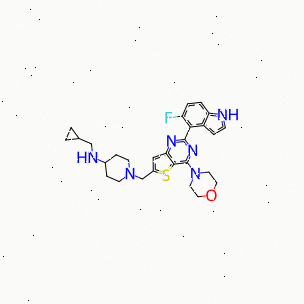 Fc1ccc2[nH]ccc2c1-c1nc(N2CCOCC2)c2sc(CN3CCC(NCC4CC4)CC3)cc2n1